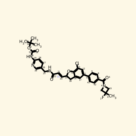 CC1(F)CN(C(=O)c2ccc(-c3cc(Cl)c4c(c3)CC(/C=C/C(=O)NCc3ccc(NC(=O)OC(C)(C)C)nc3)O4)cc2)C1